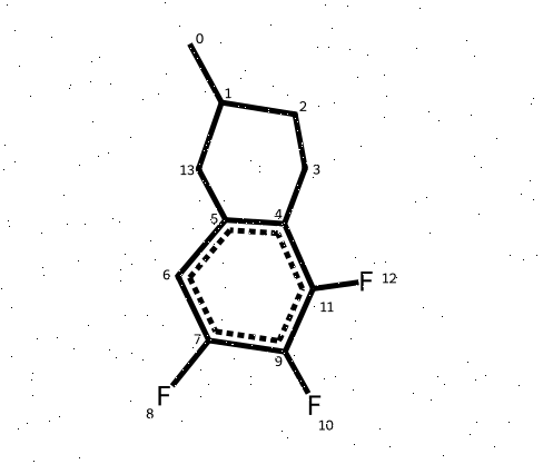 CC1CCc2c(cc(F)c(F)c2F)C1